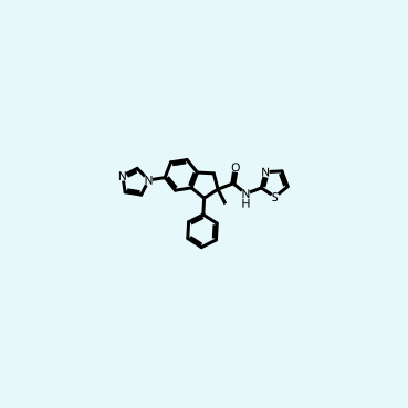 CC1(C(=O)Nc2nccs2)Cc2ccc(-n3ccnc3)cc2C1c1ccccc1